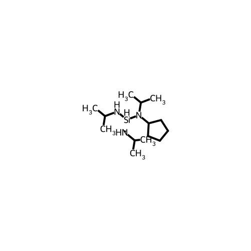 CC(C)N[SiH](NC(C)C)N(C(C)C)C1CCCC1